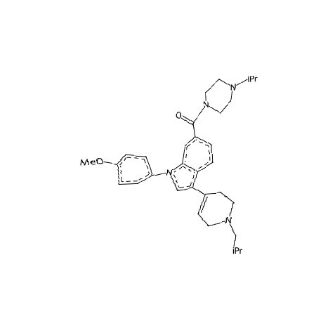 COc1ccc(-n2cc(C3=CCN(CC(C)C)CC3)c3ccc(C(=O)N4CCN(C(C)C)CC4)cc32)cc1